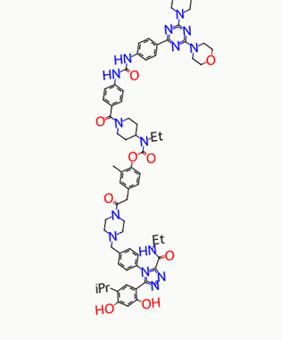 CCNC(=O)c1nnc(-c2cc(C(C)C)c(O)cc2O)n1-c1ccc(CN2CCN(C(=O)Cc3ccc(OC(=O)N(CC)C4CCN(C(=O)c5ccc(NC(=O)Nc6ccc(-c7nc(N8CCOCC8)nc(N8CCOCC8)n7)cc6)cc5)CC4)c(C)c3)CC2)cc1